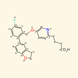 O=C(O)CCCc1ccc(OCc2cc(F)ccc2-c2ccc3c(c2)CCO3)cn1